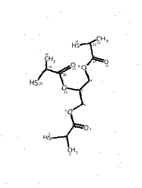 CC(S)C(=O)OCC(COC(=O)C(C)S)OC(=O)C(C)S